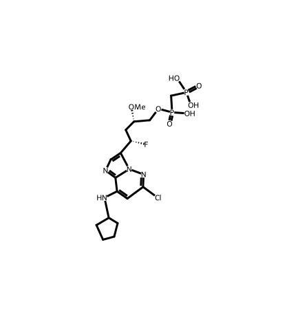 CO[C@H](COP(=O)(O)CP(=O)(O)O)C[C@H](F)c1cnc2c(NC3CCCC3)cc(Cl)nn12